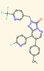 Cc1ccc(-c2cnn3c(=O)n(Cc4ccc(C(F)(F)F)nc4)nc3c2-c2ccc(F)nc2)cc1